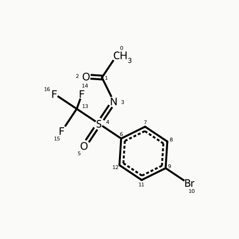 CC(=O)N=S(=O)(c1ccc(Br)cc1)C(F)(F)F